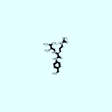 CC(C)[C@H](N)CN[C@@H](CCCNC(N)=O)C(=O)Nc1ccc(CO)cc1